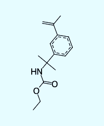 C=C(C)c1cccc(C(C)(C)NC(=O)OCC)c1